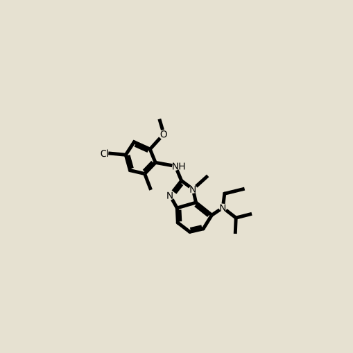 CCN(c1cccc2nc(Nc3c(C)cc(Cl)cc3OC)n(C)c12)C(C)C